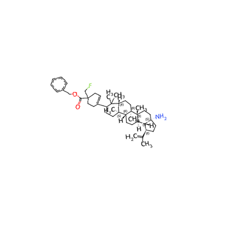 C=C(C)[C@@H]1CC[C@]2(N)CC[C@]3(C)[C@H](CC[C@@H]4[C@@]5(C)CC=C(C6=CCC(CF)(C(=O)OCc7ccccc7)CC6)C(C)(C)[C@@H]5CC[C@]43C)[C@@H]12